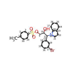 Cc1ccc(S(=O)(=O)OCC(O)C(c2cccc(Br)c2)n2ccc3ccccc32)cc1